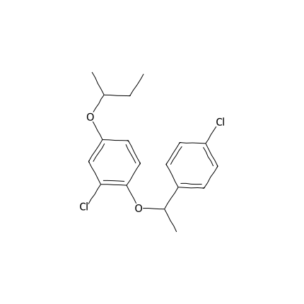 CCC(C)Oc1ccc(OC(C)c2ccc(Cl)cc2)c(Cl)c1